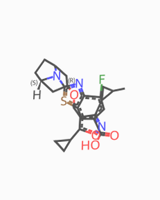 CC1CC1c1noc(C2CC2)c1CO[C@@H]1CC2CC[C@@H](C1)N2c1nc2c(F)cc(C(=O)O)cc2s1